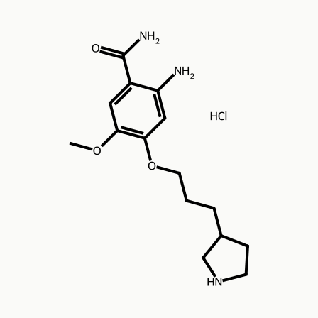 COc1cc(C(N)=O)c(N)cc1OCCCC1CCNC1.Cl